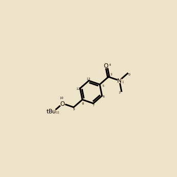 CN(C)C(=O)c1ccc(COC(C)(C)C)cc1